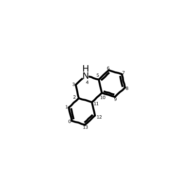 C1=CC2CNc3ccccc3C2C=C1